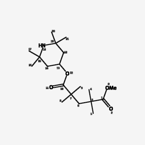 COC(=O)C(C)(C)CC(C)(C)C(=O)OC1CC(C)(C)NC(C)(C)C1